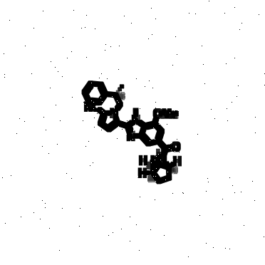 COc1cc(C(=O)N2C[C@H]3CC[C@@H]2[C@@H]3N)cc2nc(-c3ccc(C#N)n3C[C@@H](C)c3ccccc3)n(C)c12